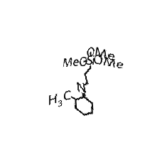 CO[Si](CCCN=C1CCCCC1C)(OC)OC